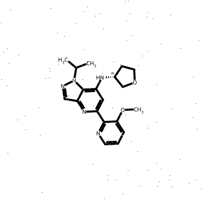 COc1cccnc1-c1cc(N[C@@H]2CCOC2)c2c(cnn2C(C)C)n1